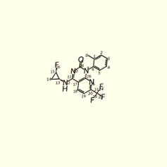 Cc1ccccc1-n1c(=O)nc(N[C@H]2C[C@H]2F)c2ccc(C(F)(F)F)nc21